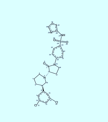 O=C1[C@@H](N2CCC[C@H](c3cc(Cl)cc(Cl)c3)C2)CCN1c1ccc(S(=O)(=O)Nc2nccs2)cc1